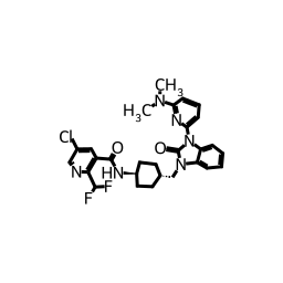 CN(C)c1cccc(-n2c(=O)n(C[C@H]3CC[C@H](NC(=O)c4cc(Cl)cnc4C(F)F)CC3)c3ccccc32)n1